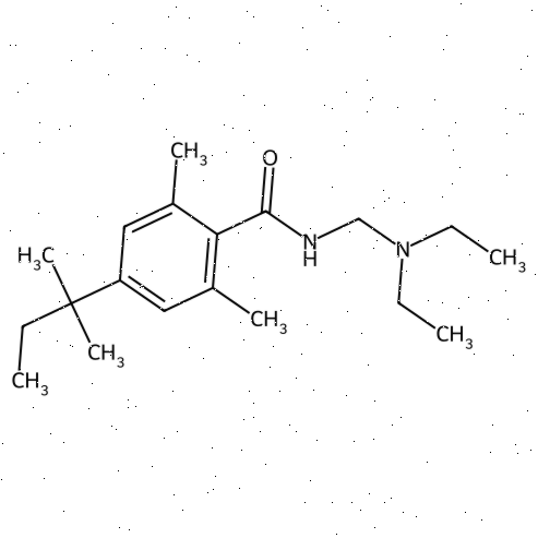 CCN(CC)CNC(=O)c1c(C)cc(C(C)(C)CC)cc1C